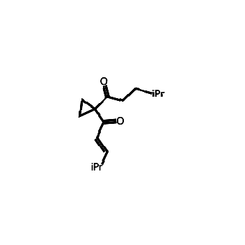 CC(C)/C=C/C(=O)C1(C(=O)CCC(C)C)CC1